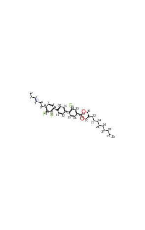 CC/C=C/CCc1ccc(-c2ccc(-c3ccc(C4OCC(CCCCCCCCC)CO4)cc3F)cc2)c(F)c1F